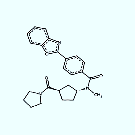 CN(C(=O)c1ccc(-c2nc3ccccc3o2)cc1)[C@@H]1CC[C@@H](C(=O)N2CCCC2)C1